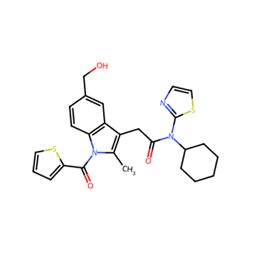 Cc1c(CC(=O)N(c2nccs2)C2CCCCC2)c2cc(CO)ccc2n1C(=O)c1cccs1